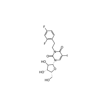 O=c1c(I)cn([C@@H]2O[C@H](CO)[C@H](O)C2O)c(=O)n1CCc1ccc(F)cc1F